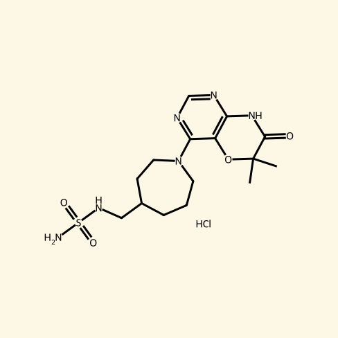 CC1(C)Oc2c(ncnc2N2CCCC(CNS(N)(=O)=O)CC2)NC1=O.Cl